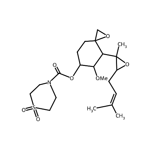 COC1C(OC(=O)N2CCS(=O)(=O)CC2)CCC2(CO2)C1C1(C)OC1CC=C(C)C